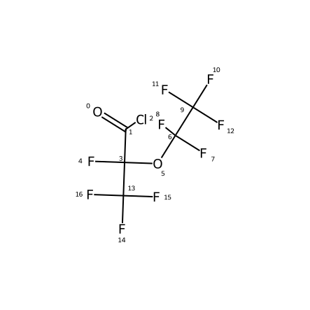 O=C(Cl)C(F)(OC(F)(F)C(F)(F)F)C(F)(F)F